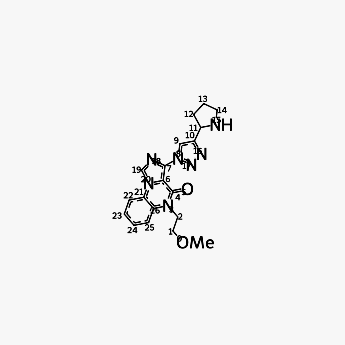 COCCn1c(=O)c2c(-n3cc(C4CCCN4)nn3)ncn2c2ccccc21